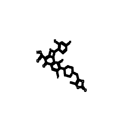 Cc1oc(=O)oc1CN1CCN(c2c(F)cc3c(=O)c(C(=O)O)c4n(c3c2F)C(c2ccc(F)cc2F)S4)CC1